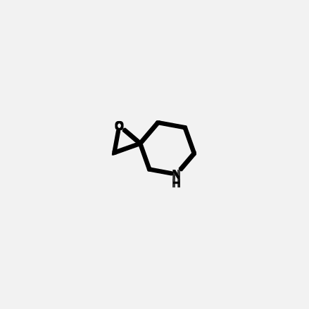 C1CNCC2(C1)CO2